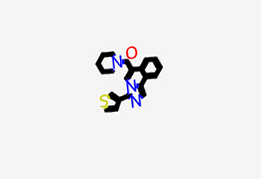 O=C(c1cn2c(-c3ccsc3)ncc2c2ccccc12)N1CCCCC1